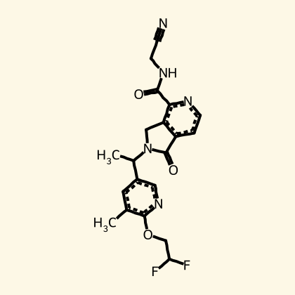 Cc1cc(C(C)N2Cc3c(ccnc3C(=O)NCC#N)C2=O)cnc1OCC(F)F